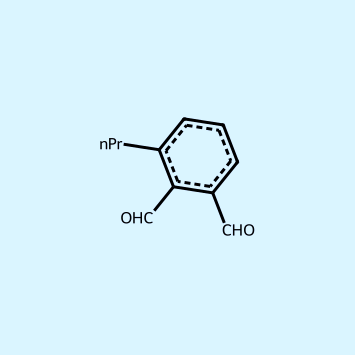 CCCc1cccc(C=O)c1C=O